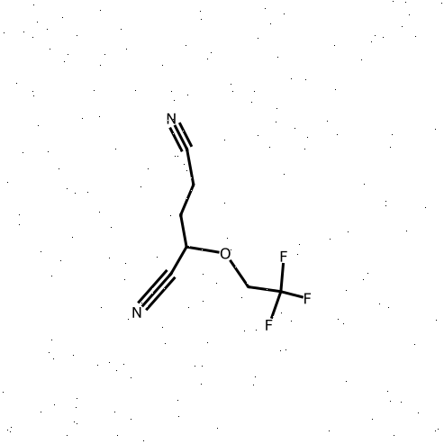 N#CCCC(C#N)OCC(F)(F)F